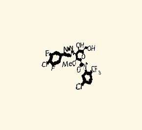 CO[C@@H]1[C@@H](n2cc(-c3cc(F)c(Cl)c(F)c3)nn2)[C@@H](O)[C@@H](CO)O[C@H]1C(=O)N(C)c1cc(Cl)ccc1C(F)(F)F